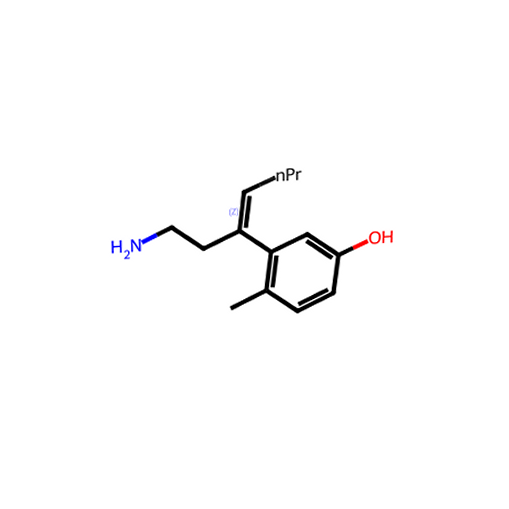 CCC/C=C(/CCN)c1cc(O)ccc1C